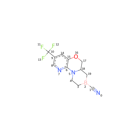 N#CB1CCN2c3ncc(C(F)(F)F)cc3OCC2C1